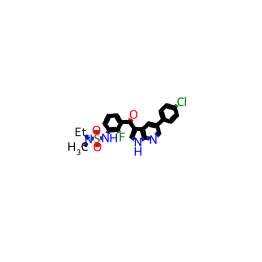 CCN(C)S(=O)(=O)Nc1cccc(C(=O)c2c[nH]c3ncc(-c4ccc(Cl)cc4)cc23)c1F